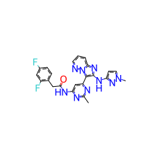 Cc1nc(NC(=O)Cc2ccc(F)cc2F)cc(-c2c(Nc3ccn(C)n3)nc3cccnn23)n1